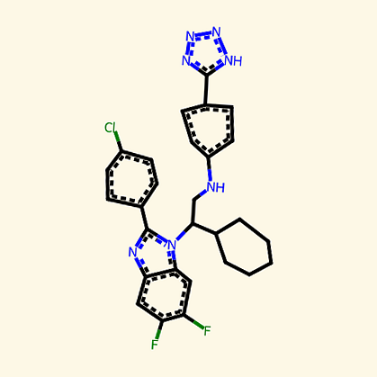 Fc1cc2nc(-c3ccc(Cl)cc3)n(C(CNc3ccc(-c4nnn[nH]4)cc3)C3CCCCC3)c2cc1F